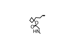 C=CCCC1(OC(=O)CNC)CCC1